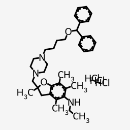 CCNc1c(C)c(C)c2c(c1C)CC(C)(CN1CCN(CCCCOC(c3ccccc3)c3ccccc3)CC1)O2.Cl.Cl.Cl